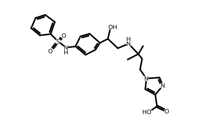 CC(C)(CCn1cnc(C(=O)O)c1)NCC(O)c1ccc(NS(=O)(=O)c2ccccc2)cc1